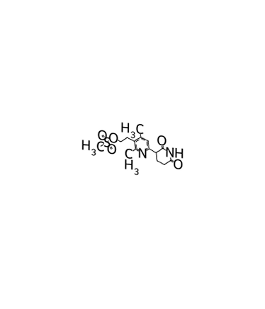 Cc1cc(C2CCC(=O)NC2=O)nc(C)c1CCOS(C)(=O)=O